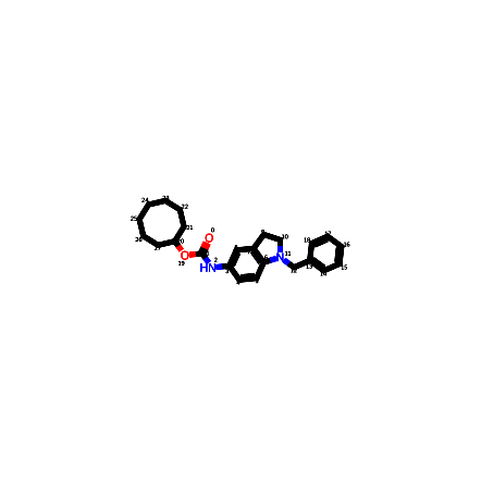 O=C(Nc1ccc2c(c1)CCN2Cc1ccccc1)OC1CCCCCCC1